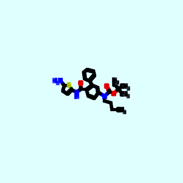 CCCCN(C(=O)OC(C)(C)C)c1ccc(C(=O)NC2=CCC(N)S2)c(-c2ccccc2)c1